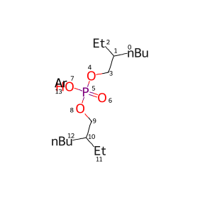 CCCCC(CC)COP(=O)(O)OCC(CC)CCCC.[Ar]